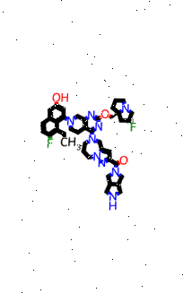 CCc1c(F)ccc2cc(O)cc(N3CCc4c(nc(OC[C@@]56CCCN5C[C@H](F)C6)nc4N4CCCn5nc(C(=O)N6CC7CNCC7C6)cc5C4)C3)c12